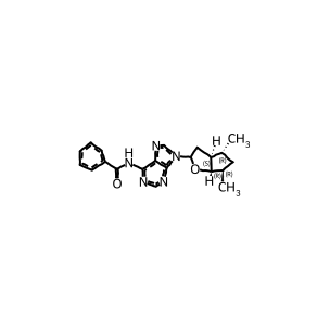 C[C@@H]1C[C@@H](C)[C@H]2OC(n3cnc4c(NC(=O)c5ccccc5)ncnc43)C[C@H]21